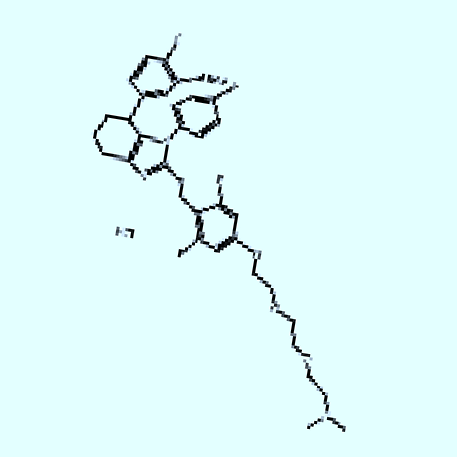 COc1cc(C2CCCc3nc(SCc4c(F)cc(OCCOCCOCCN(C)C)cc4F)n(-c4ccc(F)cc4)c32)ccc1Cl.Cl